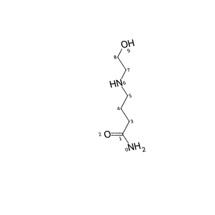 NC(=O)CCCNCCO